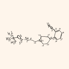 CC(C)(C)OC(=O)NCCCN1CCC(c2ccccc2C#N)CC1